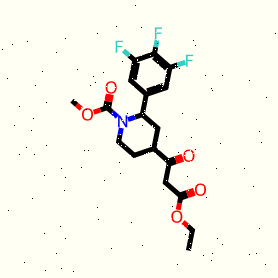 CCOC(=O)CC(=O)C1CCN(C(=O)OC)C(c2cc(F)c(F)c(F)c2)C1